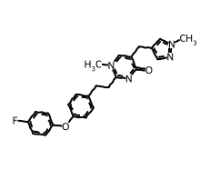 Cn1cc(Cc2cn(C)c(CCc3ccc(Oc4ccc(F)cc4)cc3)nc2=O)cn1